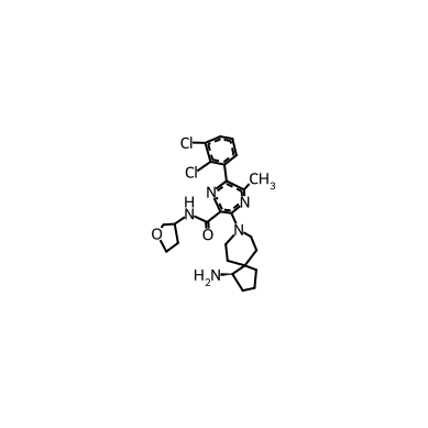 Cc1nc(N2CCC3(CCC[C@H]3N)CC2)c(C(=O)NC2CCOC2)nc1-c1cccc(Cl)c1Cl